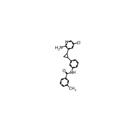 Cc1cccc(C(=O)Nc2cccc(C3CC3c3cc(Cl)cnc3N)c2)c1